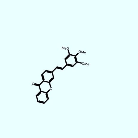 COc1cc(C=Cc2ccc3c(=O)c4ccccc4oc3c2)cc(OC)c1OC